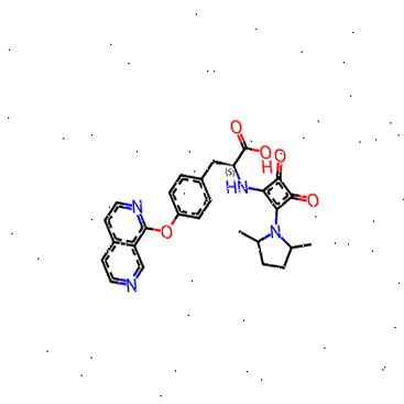 CC1CCC(C)N1c1c(N[C@@H](Cc2ccc(Oc3nccc4ccncc34)cc2)C(=O)O)c(=O)c1=O